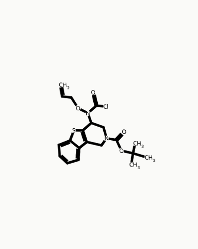 C=CCON(C(=O)Cl)C1CN(C(=O)OC(C)(C)C)Cc2c1sc1ccccc21